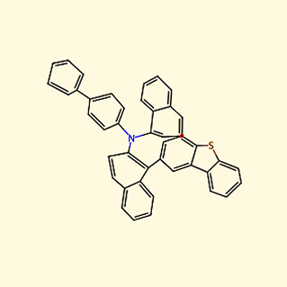 c1ccc(-c2ccc(N(c3ccc4ccccc4c3-c3ccc4sc5ccccc5c4c3)c3cccc4ccccc34)cc2)cc1